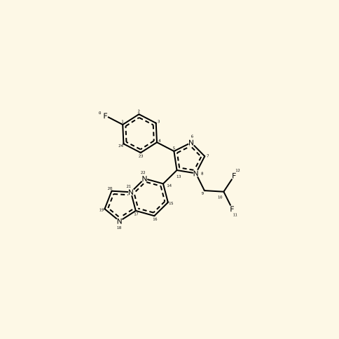 Fc1ccc(-c2ncn(CC(F)F)c2-c2ccc3nccn3n2)cc1